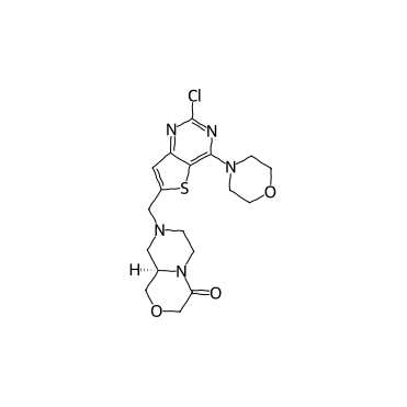 O=C1COC[C@H]2CN(Cc3cc4nc(Cl)nc(N5CCOCC5)c4s3)CCN12